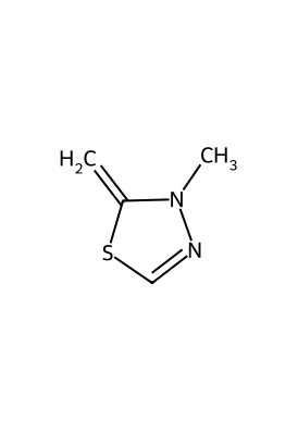 C=C1SC=NN1C